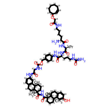 CC(C)[C@H](NC(=O)[C@H](N)CCCCNC(=O)COC1C#CCCCCC1)C(=O)N[C@@H](CCCNC(N)=O)C(=O)Nc1ccc(COC(=O)NCC(=O)Nc2ccc3c(c2)[C@@]2(C)CCC[C@](C)(C(=O)NC(=O)[C@@]4(C)CCC[C@]5(C)c6cc(O)ccc6CC[C@@H]45)[C@@H]2CC3)cc1